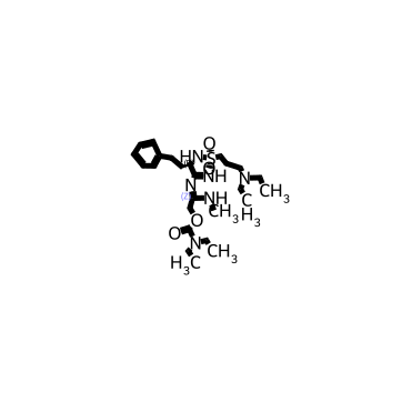 CCN(CC)CCCS(=O)(=O)N[C@H](CCc1ccccc1)C(=N)/N=C(/COC(=O)N(CC)CC)NC